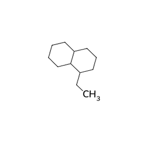 CCC1CCCC2CCCCC12